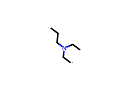 [CH2]CCN(C[CH2])CC